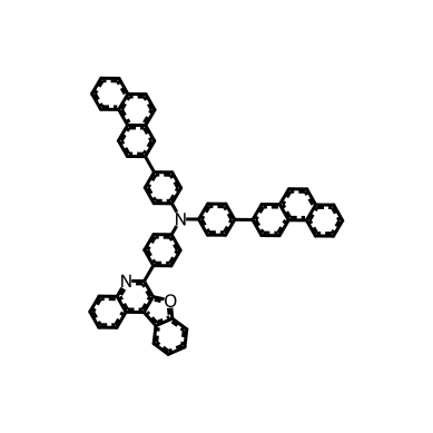 c1ccc2c(c1)ccc1cc(-c3ccc(N(c4ccc(-c5ccc6c(ccc7ccccc76)c5)cc4)c4ccc(-c5nc6ccccc6c6c5oc5ccccc56)cc4)cc3)ccc12